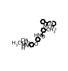 Cc1cc(C(=O)Nc2ccc(Oc3ccc(NC(=O)NC(C)C)cc3)cc2)ccc1-n1c(C)c(CN2CCCCC2)c2ccccc21